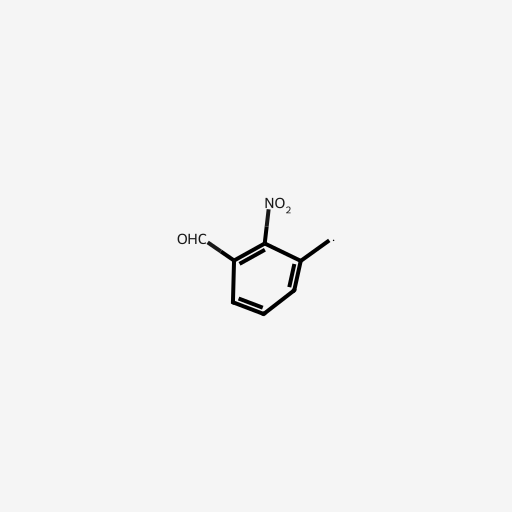 [CH2]c1cccc(C=O)c1[N+](=O)[O-]